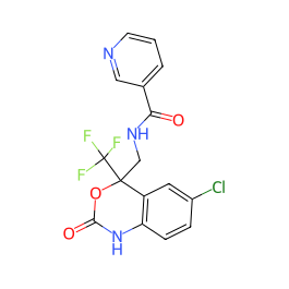 O=C1Nc2ccc(Cl)cc2C(CNC(=O)c2cccnc2)(C(F)(F)F)O1